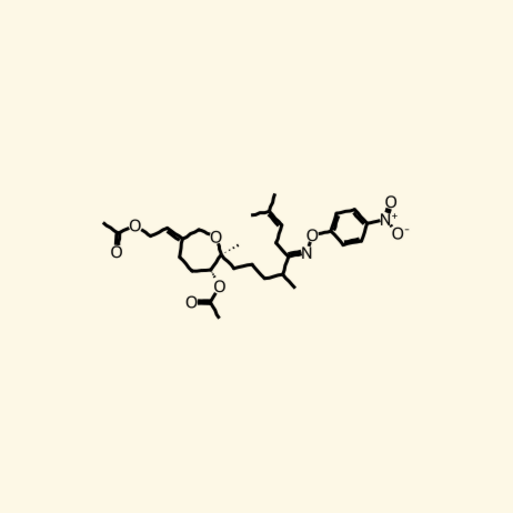 CC(=O)OC/C=C1\CC[C@@H](OC(C)=O)[C@](C)(CCCC(C)/C(CC=C(C)C)=N/Oc2ccc([N+](=O)[O-])cc2)OC1